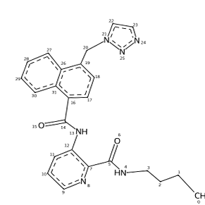 CCCCNC(=O)c1ncccc1NC(=O)c1ccc(Cn2ccnn2)c2ccccc12